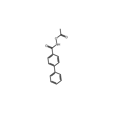 CC(=O)ONC(=O)c1ccc(-c2ccccc2)cc1